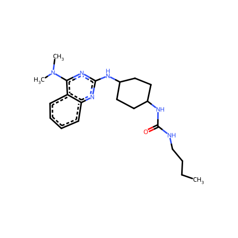 CCCCNC(=O)NC1CCC(Nc2nc(N(C)C)c3ccccc3n2)CC1